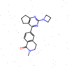 CN1CCc2cc(-c3nc(N4CCC4)nc4c3CCC4)ccc2C1=O